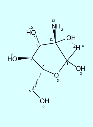 [2H]C1(O)O[C@H](CO)[C@@H](O)[C@H](O)[C@]1(N)O